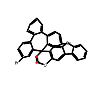 Brc1ccc2c(c1)C1(c3ccccc3Oc3cc4c(cc31)oc1ccccc14)c1cc(Br)ccc1-c1ccccc1-2